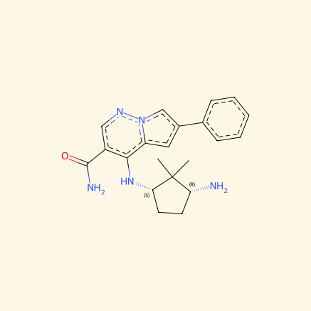 CC1(C)[C@H](N)CC[C@@H]1Nc1c(C(N)=O)cnn2cc(-c3ccccc3)cc12